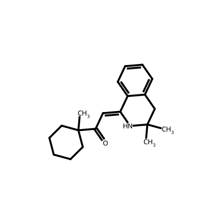 CC1(C)Cc2ccccc2/C(=C/C(=O)C2(C)CCCCC2)N1